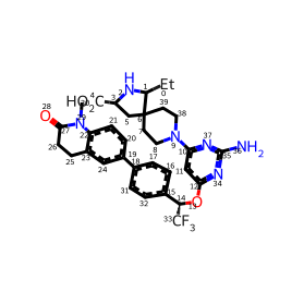 CCC1NC(C(=O)O)CC12CCN(c1cc(O[C@H](c3ccc(-c4ccc5c(c4)CCC(=O)N5C)cc3)C(F)(F)F)nc(N)n1)CC2